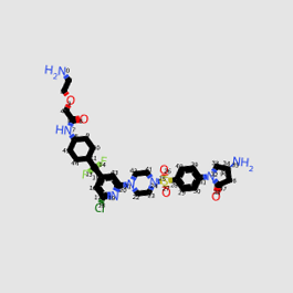 NCCOCC(=O)NC1CCC(C(F)(F)c2cc(Cl)nc(N3CCN(S(=O)(=O)c4ccc(N5C[C@H](N)CC5=O)cc4)CC3)c2)CC1